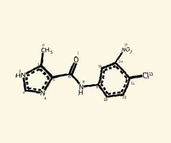 Cc1[nH]cnc1C(=O)Nc1ccc(Cl)c([N+](=O)[O-])c1